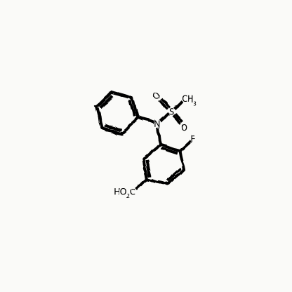 CS(=O)(=O)N(c1ccccc1)c1cc(C(=O)O)ccc1F